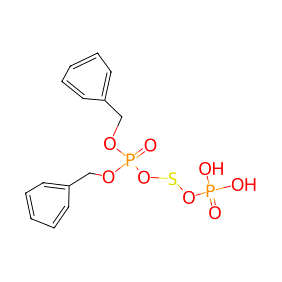 O=P(O)(O)OSOP(=O)(OCc1ccccc1)OCc1ccccc1